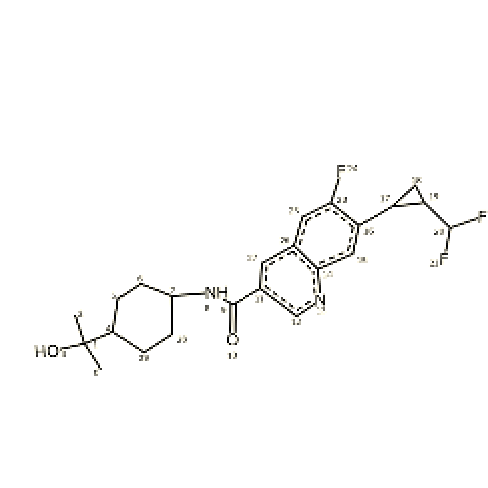 CC(C)(O)C1CCC(NC(=O)c2cnc3cc(C4CC4C(F)F)c(F)cc3c2)CC1